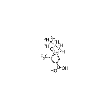 [2H]C([2H])([2H])C([2H])(Oc1ccc(B(O)O)cc1C(F)(F)F)C([2H])([2H])[2H]